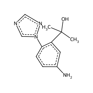 CC(C)(O)c1cc(N)ccc1-n1cncn1